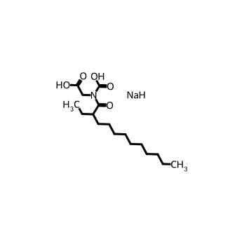 CCCCCCCCCCC(CC)C(=O)N(CC(=O)O)C(=O)O.[NaH]